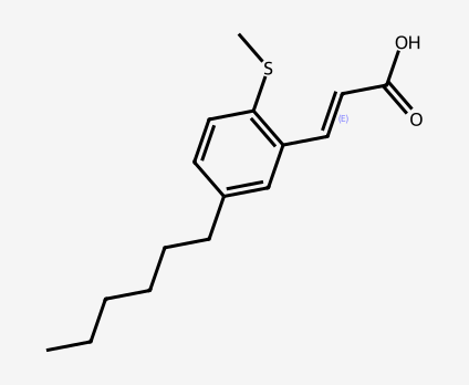 CCCCCCc1ccc(SC)c(/C=C/C(=O)O)c1